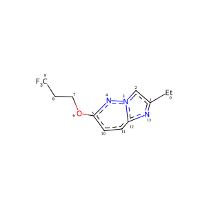 CCc1cn2nc(OCCC(F)(F)F)ccc2n1